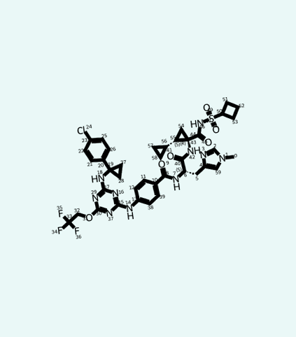 Cn1cnc(C[C@H](NC(=O)c2ccc(Nc3nc(NC4(c5ccc(Cl)cc5)CC4)nc(OCC(F)(F)F)n3)cc2)C(=O)N[C@]2(C(=O)NS(=O)(=O)C3CCC3)C[C@H]2C2CC2)c1